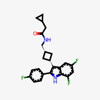 O=C(CC1CC1)NC[C@H]1C[C@@H](c2c(-c3ccc(F)cc3)[nH]c3c(F)cc(F)cc32)C1